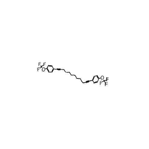 FC(F)(F)Oc1ccc(C#CCCCCCCCCC#Cc2ccc(OC(F)(F)F)cc2)cc1